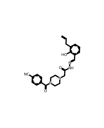 C=CCc1cccc(C=NNC(=O)CN2CCN(C(=O)c3ccc(C#N)cc3)CC2)c1O